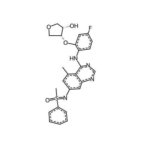 Cc1cc(N=S(C)(=O)c2ccccc2)cc2ncnc(Nc3ccc(F)cc3O[C@@H]3COC[C@@H]3O)c12